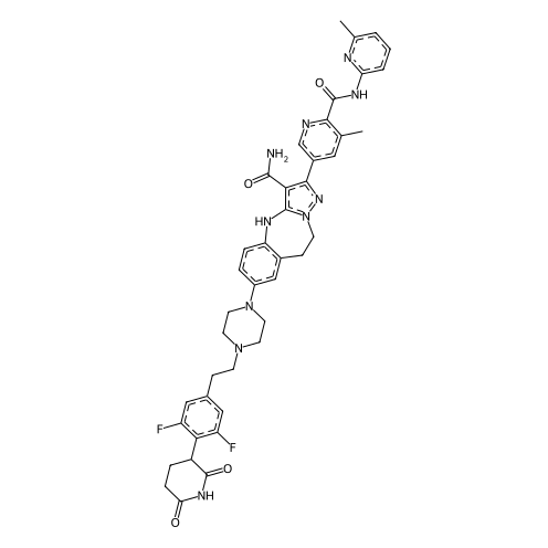 Cc1cccc(NC(=O)c2ncc(-c3nn4c(c3C(N)=O)Nc3ccc(N5CCN(CCc6cc(F)c(C7CCC(=O)NC7=O)c(F)c6)CC5)cc3CC4)cc2C)n1